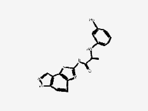 CC(Nc1cccc(O)c1)C(=O)Nc1nc2ccc3[nH]ncc3c2s1